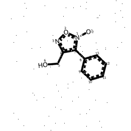 [O-][n+]1onc(CO)c1-c1ccccc1